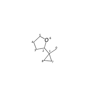 CC1(C2CCCO2)CC1